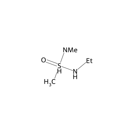 CCN[SH](C)(=O)NC